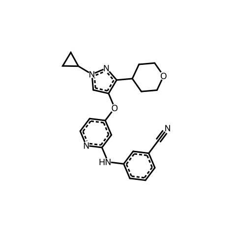 N#Cc1cccc(Nc2cc(Oc3cn(C4CC4)nc3C3CCOCC3)ccn2)c1